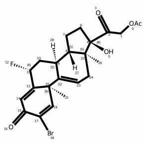 CC(=O)OCC(=O)[C@@]1(O)CC[C@H]2[C@@H]3C[C@@H](F)C4=CC(=O)C(Br)=C[C@]4(C)C3=CC[C@@]21C